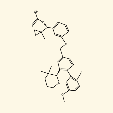 COc1ccc(F)c(-c2ccc(COc3cccc([C@H](CC(=O)O)C4(C)CC4)c3)cc2[C@H]2OCCCC2(C)C)c1